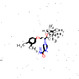 Cc1ccc(OCC[C@H]([C@H](C)O[Si](C)(C)C(C)(C)C)n2cnc(C(N)=O)c2)cc1C